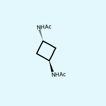 CC(=O)N[C@H]1C[C@H](NC(C)=O)C1